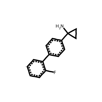 NC1(c2ccc(-c3c[c]ccc3F)cc2)CC1